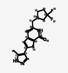 Cc1[nH]ncc1-c1cc2nc(CN3CCC(F)(F)C3)[nH]c(=O)c2s1